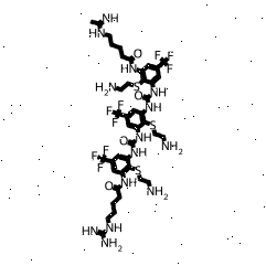 CC(=N)NCCCCC(=O)Nc1cc(C(F)(F)F)cc(NC(=O)Nc2cc(C(F)(F)F)cc(NC(=O)Nc3cc(C(F)(F)F)cc(NC(=O)CCCCNC(=N)N)c3SCCN)c2SCCN)c1SCCN